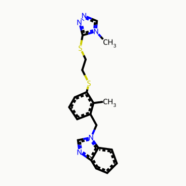 Cc1c(Cn2cnc3ccccc32)cccc1SCCSc1nncn1C